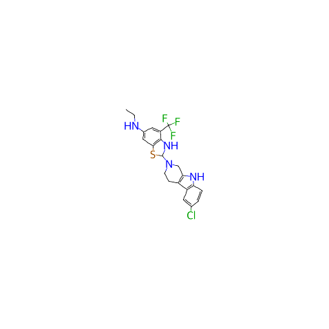 CCNc1cc2c(c(C(F)(F)F)c1)NC(N1CCc3c([nH]c4ccc(Cl)cc34)C1)S2